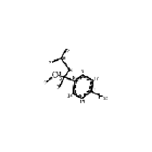 COC(C)(CC(C)C)c1ccc(F)cc1